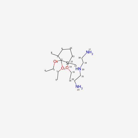 CCOC1(OCC)C(C)CCC[Si]1(C)OCC.NCCNCCN